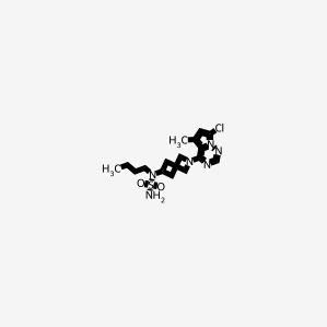 CCCCN(C1CC2(C1)CN(c1ncnn3c(Cl)cc(C)c13)C2)S(N)(=O)=O